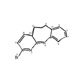 BrC1=NC2=Nc3ccccc3CCC2C=C1